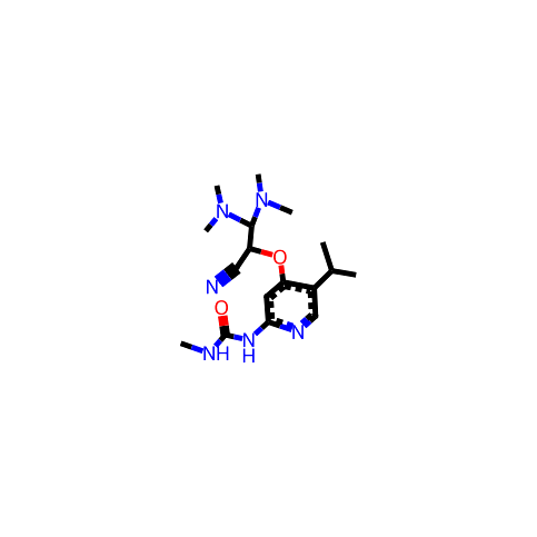 CNC(=O)Nc1cc(OC(C#N)C(N(C)C)N(C)C)c(C(C)C)cn1